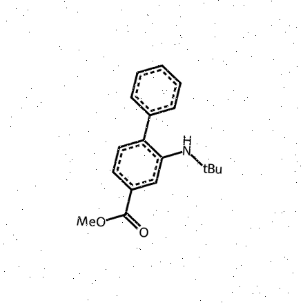 COC(=O)c1ccc(-c2ccccc2)c(NC(C)(C)C)c1